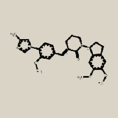 COc1cc2c(cc1OC)[C@@H](N1CCC/C(=C\c3ccc(-n4cnc(C)c4)c(OC)c3)C1=O)CC2